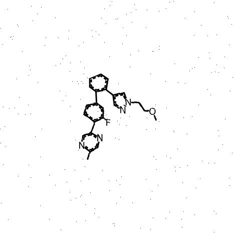 COCCn1cc(-c2ccccc2-c2ccc(-c3cnc(C)cn3)c(F)c2)cn1